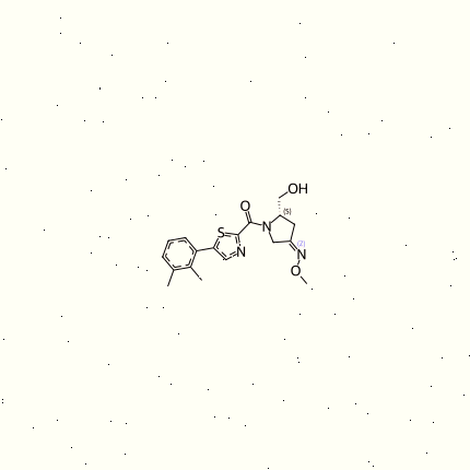 CO/N=C1/C[C@@H](CO)N(C(=O)c2ncc(-c3cccc(C)c3C)s2)C1